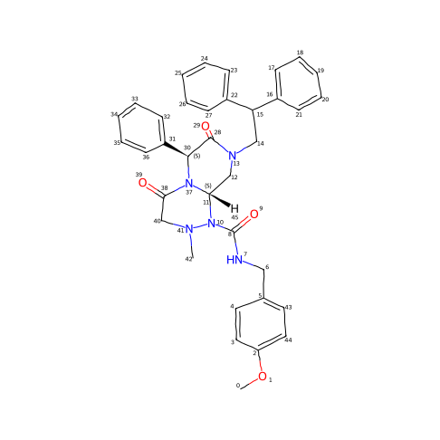 COc1ccc(CNC(=O)N2[C@H]3CN(CC(c4ccccc4)c4ccccc4)C(=O)[C@H](c4ccccc4)N3C(=O)CN2C)cc1